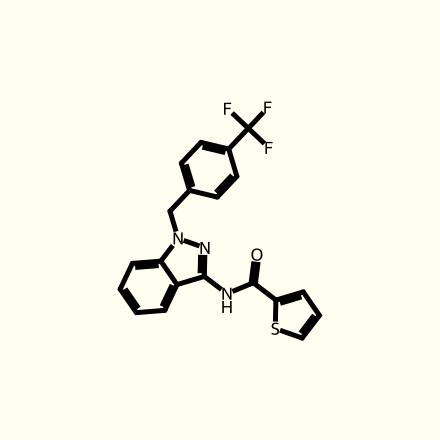 O=C(Nc1nn(Cc2ccc(C(F)(F)F)cc2)c2ccccc12)c1cccs1